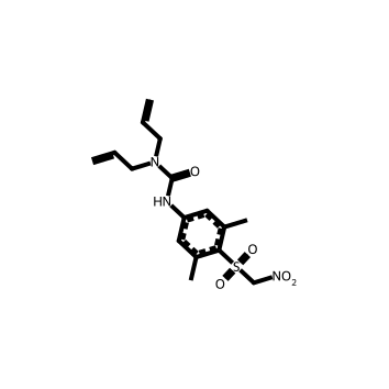 C=CCN(CC=C)C(=O)Nc1cc(C)c(S(=O)(=O)C[N+](=O)[O-])c(C)c1